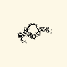 CCCC1(S(=O)(=O)NC(=O)[C@@]23C[C@H]2/C=C\CCCCC[C@H](NC(=O)OC(C)(C)C)C(=O)N2CCC[C@H]2C(=O)N3)CC1